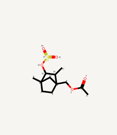 CC(=O)OCC12CCC(C)(C1)C(O[SH](=O)=O)C2C